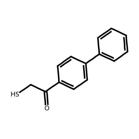 O=C(CS)c1ccc(-c2ccccc2)cc1